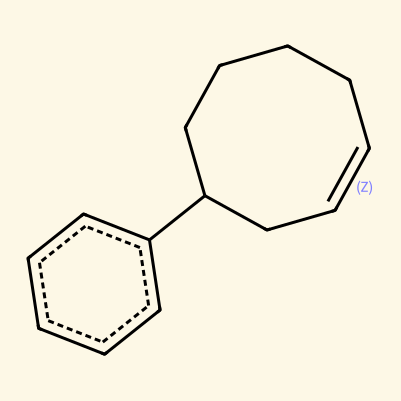 C1=C\CC(c2ccccc2)CCCC/1